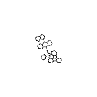 C(#C[Si](c1ccccc1)(c1ccccc1)c1cccc2c1oc1ccccc12)c1c2ccccc2c(-c2cccc3ccccc23)c2ccccc12